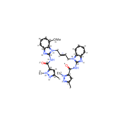 CCn1nc(C)cc1C(=O)Nc1nc2ccccc2n1C/C=C/Cn1c(NC(=O)c2cc(C)nn2CC)nc2cccc(OC)c21